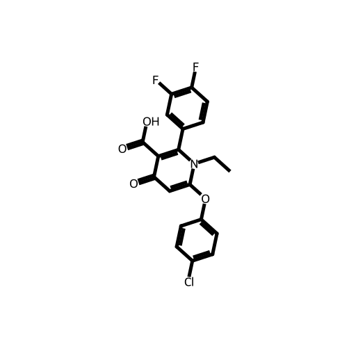 CCn1c(Oc2ccc(Cl)cc2)cc(=O)c(C(=O)O)c1-c1ccc(F)c(F)c1